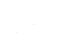 Cc1ccc(S(=O)(=O)N2CCc3nc(C)sc3C2)cc1